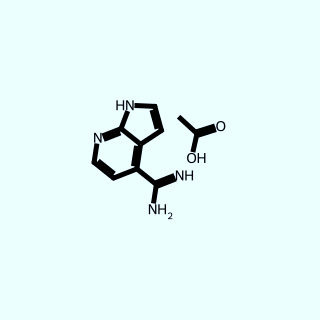 CC(=O)O.N=C(N)c1ccnc2[nH]ccc12